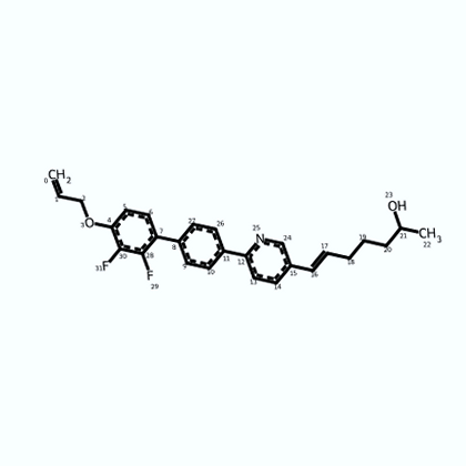 C=CCOc1ccc(-c2ccc(-c3ccc(/C=C/CCCC(C)O)cn3)cc2)c(F)c1F